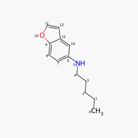 CCCCCNc1ccc2occc2c1